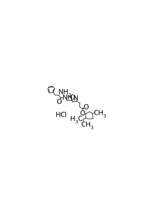 CC1CCC(C(C)C)C(OC(=O)CCc2cc(CNC(=O)[C@@H](N)Cc3ccccc3)on2)C1.Cl